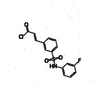 O=C(Cl)/C=C/c1cccc(S(=O)(=O)Nc2cccc(F)c2)c1